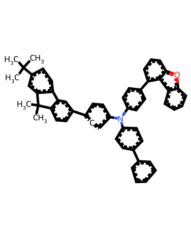 CC(C)(C)c1ccc2c(c1)C(C)(C)c1ccc(-c3ccc(N(c4ccc(-c5ccccc5)cc4)c4ccc(-c5cccc6oc7ccccc7c56)cc4)cc3)cc1-2